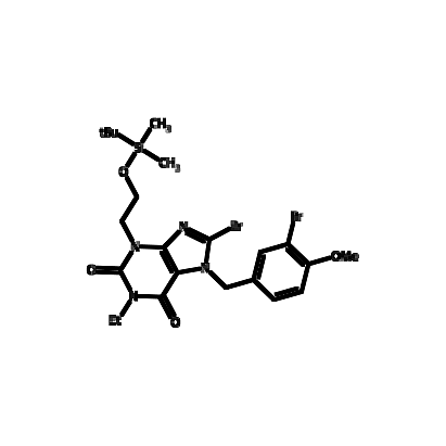 CCn1c(=O)c2c(nc(Br)n2Cc2ccc(OC)c(Br)c2)n(CCO[Si](C)(C)C(C)(C)C)c1=O